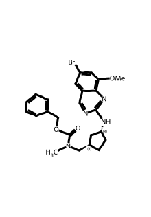 COc1cc(Br)cc2cnc(N[C@@H]3CC[C@@H](CN(C)C(=O)OCc4ccccc4)C3)nc12